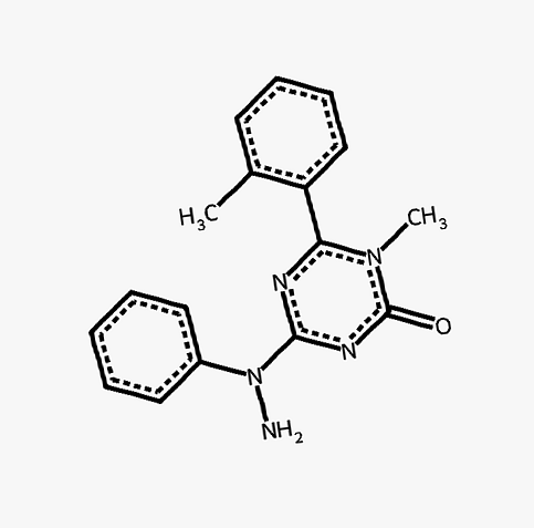 Cc1ccccc1-c1nc(N(N)c2ccccc2)nc(=O)n1C